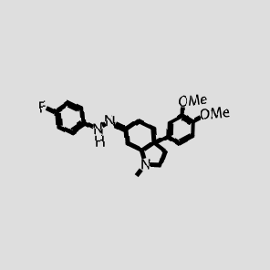 COc1ccc(C23CC/C(=N/Nc4ccc(F)cc4)CC2N(C)CC3)cc1OC